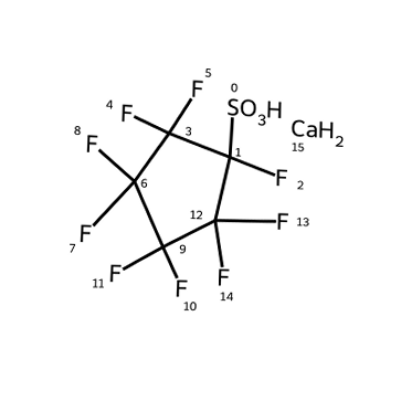 O=S(=O)(O)C1(F)C(F)(F)C(F)(F)C(F)(F)C1(F)F.[CaH2]